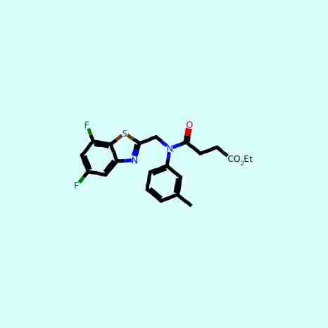 CCOC(=O)CCC(=O)N(Cc1nc2cc(F)cc(F)c2s1)c1cccc(C)c1